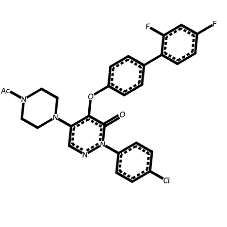 CC(=O)N1CCN(c2cnn(-c3ccc(Cl)cc3)c(=O)c2Oc2ccc(-c3ccc(F)cc3F)cc2)CC1